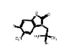 CC(C)(O)Cn1c(=O)[nH]c2cc(F)c([N+](=O)[O-])cc21